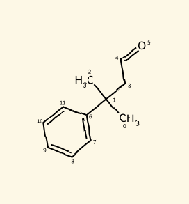 CC(C)(CC=O)c1ccccc1